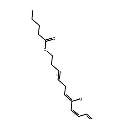 C=C/C=C\C(Cl)=C\C/C=C/CCOC(=O)CCCC